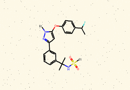 CCn1nc(-c2cccc(C(C)(C)NS(=O)(=O)CC)c2)cc1Oc1ccc(C(C)F)cc1